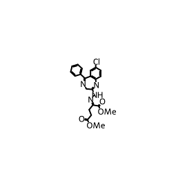 COC(=O)CC/C(=N/NC1=Nc2ccc(Cl)cc2C(c2ccccc2)=NC1)C(=O)OC